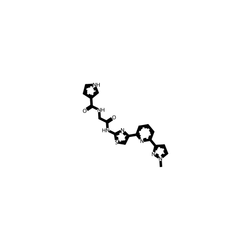 Cn1ccc(-c2cccc(-c3csc(NC(=O)CNC(=O)c4cc[nH]c4)n3)n2)n1